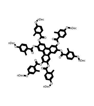 CCCCCCCCCCOc1ccc(C(=O)Oc2cc3c4cc(OC(=O)c5ccc(OCCCCCCCCCC)cc5C)c(OC(=O)c5ccc(OCCCCCCCCCC)cc5C)cc4c4cc(OC(=O)c5ccc(OCCCCCCCCCC)cc5C)c(OC(=O)c5ccc(OCCCCCCCCCC)cc5C)cc4c3cc2OC(=O)c2ccc(OCCCCCCCCCC)cc2C)c(C)c1